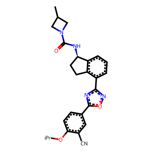 CC1CN(C(=O)N[C@@H]2CCc3c(-c4noc(-c5ccc(OC(C)C)c(C#N)c5)n4)cccc32)C1